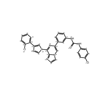 O=C(Nc1ccc(Cl)cc1)Nc1cccc(-c2cn3ccnc3c(-n3cnc(-c4ccccc4Cl)c3)n2)c1